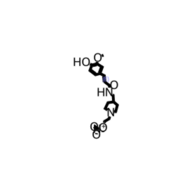 COc1cc(/C=C/C(=O)NCC2CCN(CCO[N+](=O)[O-])CC2)ccc1O